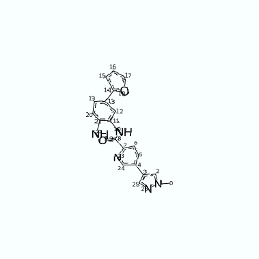 Cn1cc(-c2ccc(C(=O)Nc3cc(-c4ccco4)ccc3N)nc2)cn1